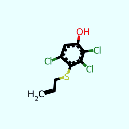 C=CCSc1c(Cl)cc(O)c(Cl)c1Cl